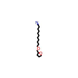 N#CCCCCCCCCCCOCC1CCCO1